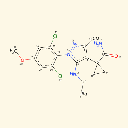 CCC(C)CNc1c(C2(C(N)=O)CC2)c(C#N)nn1-c1c(Cl)cc(OC(F)(F)F)cc1Cl